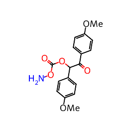 COc1ccc(C(=O)C(OC(=O)ON)c2ccc(OC)cc2)cc1